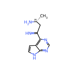 C[C@@H](N)CC(=N)c1ncnc2[nH]ccc12